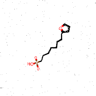 O=S(=O)(O)CCCCCCCc1ccco1